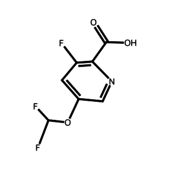 O=C(O)c1ncc(OC(F)F)cc1F